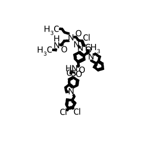 CCCCN(CCC(=O)NCC)C(=O)c1nn(-c2ccc(C(=O)NS(=O)(=O)c3ccc4c(c3)CCN4Cc3ccc(Cl)c(Cl)c3)cc2C(=O)N2CCc3ccccc3C2)c(C)c1Cl